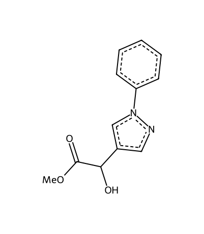 COC(=O)C(O)c1cnn(-c2ccccc2)c1